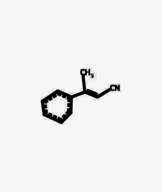 C/C(=C\C#N)c1ccccc1